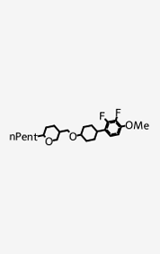 CCCCCC1CCC(COC2CCC(c3ccc(OC)c(F)c3F)CC2)CO1